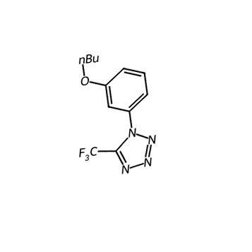 CCCCOc1cccc(-n2nnnc2C(F)(F)F)c1